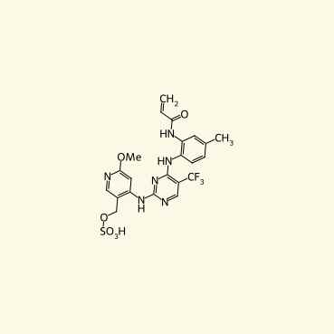 C=CC(=O)Nc1cc(C)ccc1Nc1nc(Nc2cc(OC)ncc2COS(=O)(=O)O)ncc1C(F)(F)F